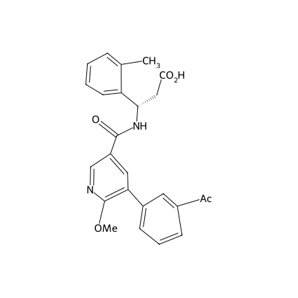 COc1ncc(C(=O)N[C@@H](CC(=O)O)c2ccccc2C)cc1-c1cccc(C(C)=O)c1